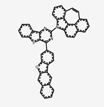 C1=Cc2cccc3c2c2c4c1cccc4ccc2n3-c1nc(-c2ccc3c(c2)oc2cc4ccccc4cc23)c2sc3ccccc3c2n1